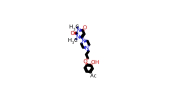 CC(=O)c1ccc(OCCCN2CCN(c3cc(=O)n(C)c(=O)n3C)CC2)c(O)c1